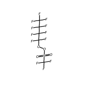 O=S(=O)(OOC(F)(F)C(F)(F)C(F)(F)C(F)(F)F)C(F)(F)F